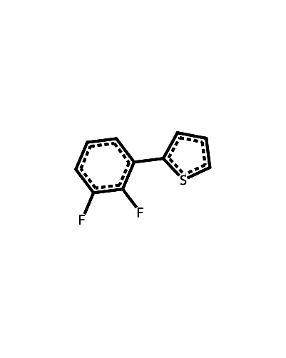 Fc1cccc(-c2cccs2)c1F